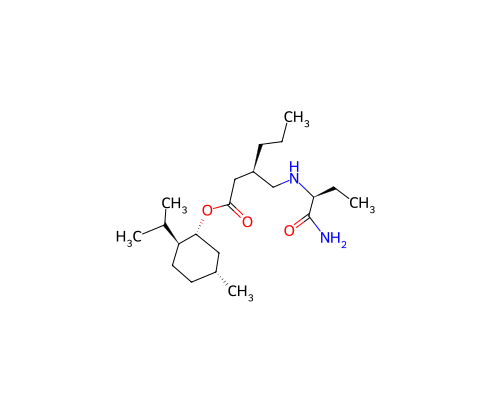 CCC[C@@H](CN[C@@H](CC)C(N)=O)CC(=O)O[C@@H]1C[C@H](C)CC[C@H]1C(C)C